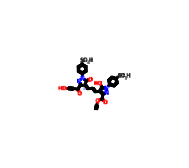 C#COC(=O)c1nn(-c2ccc(S(=O)(=O)O)cc2)c(O)c1C=C/C=C1\C(=O)N(c2ccc(S(=O)(=O)O)cc2)N=C1C(=O)C#CO